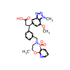 COc1cc(C(CC(=O)O)c2cccc(CN3C[C@@H](C)Oc4ncccc4S3(=O)=O)c2)cc2nnn(C)c12